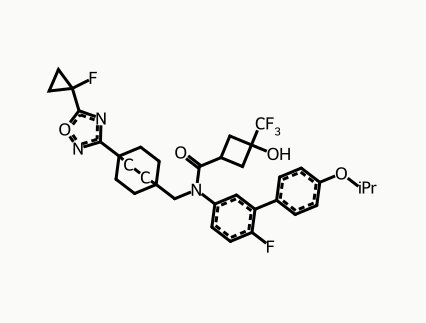 CC(C)Oc1ccc(-c2cc(N(CC34CCC(c5noc(C6(F)CC6)n5)(CC3)CC4)C(=O)C3CC(O)(C(F)(F)F)C3)ccc2F)cc1